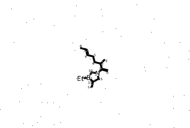 C=C(C(C)CCC=CC)N1CB(CC)C(C)C1